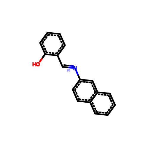 Oc1ccccc1/C=N/c1ccc2ccccc2c1